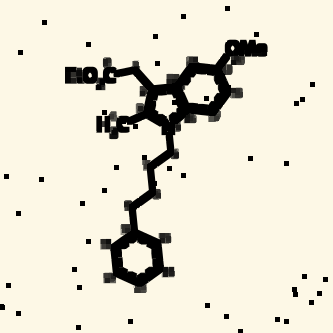 CCOC(=O)Cc1c(C)n(CCCCc2ccccc2)c2ccc(OC)cc12